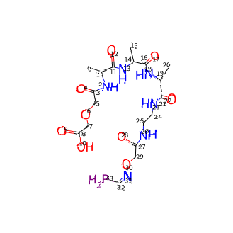 CC(NC(=O)COCC(=O)O)C(=O)NC(C)C(=O)NC(C)C(=O)NCCNC(=O)CO/N=C\P